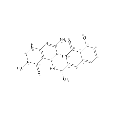 C[C@H](Nc1nc(N)nc2c1C(=O)N(C)CN2)C1=CC2=CC=CC(Cl)C2C(=O)N1